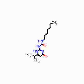 CCCCCCCNC(=O)Nc1nc(=O)cc(C(C)C)[nH]1